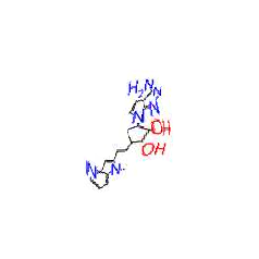 Cn1c(CC[C@H]2C[C@@H](n3ccc4c(N)ncnc43)[C@H](O)[C@@H]2O)cc2ncccc21